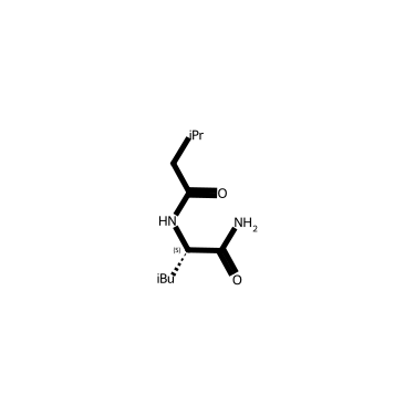 CCC(C)[C@H](NC(=O)CC(C)C)C(N)=O